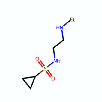 CCNCCNS(=O)(=O)C1CC1